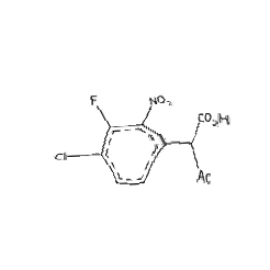 CC(=O)C(C(=O)O)c1ccc(Cl)c(F)c1[N+](=O)[O-]